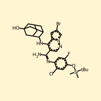 CC(C)(C)[Si](C)(C)Oc1cc(Cl)c(N=C(N)c2cnn3cc(Br)cc3c2NC2C3CC4CC2CC(O)(C4)C3)cc1F